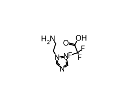 NCCn1cncn1.O=C(O)C(F)(F)F